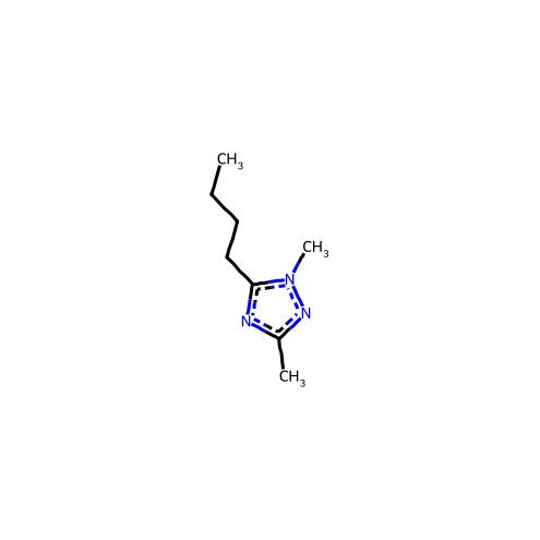 CCCCc1nc(C)nn1C